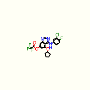 O=C(Oc1cc(OC2CCCC2)c2c(Nc3ccc(F)c(Cl)c3)ncnc2c1)C(F)(F)F